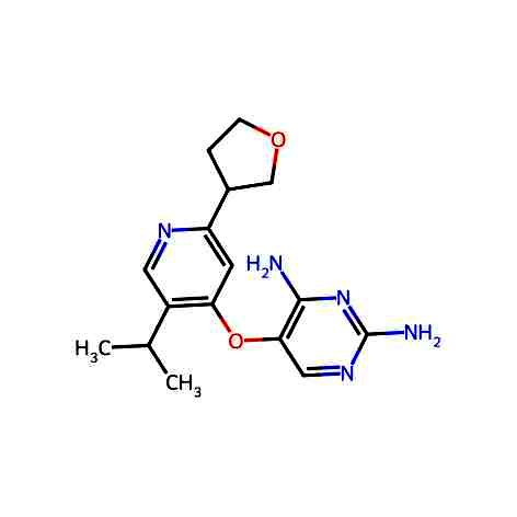 CC(C)c1cnc(C2CCOC2)cc1Oc1cnc(N)nc1N